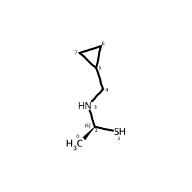 C[C@H](S)NCC1CC1